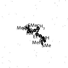 CCc1ccc(CCc2ccc(C)cc2-c2ccc(C3CNC(C4CCCN4C(=O)C(CCSC)NC(=O)OC)=N3)cc2)cc1-c1ccc(-c2c[nH]c(C3CCCN3C(=O)C(CCSC)NC)n2)cc1